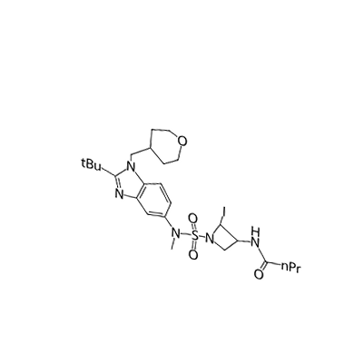 CCCC(=O)NC1CN(S(=O)(=O)N(C)c2ccc3c(c2)nc(C(C)(C)C)n3CC2CCOCC2)C1I